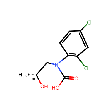 C[C@@H](O)CN(C(=O)O)c1ccc(Cl)cc1Cl